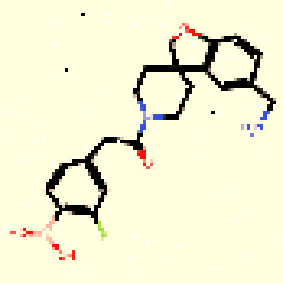 NCc1ccc2c(c1)C1(CCN(C(=O)Cc3ccc(B(O)O)c(F)c3)CC1)CO2